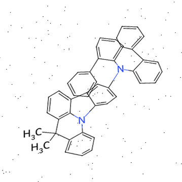 CC1(C)c2ccccc2-n2c3ccc(N(c4ccccc4C4=CC=CCC4)c4ccccc4-c4ccccc4)cc3c3cccc1c32